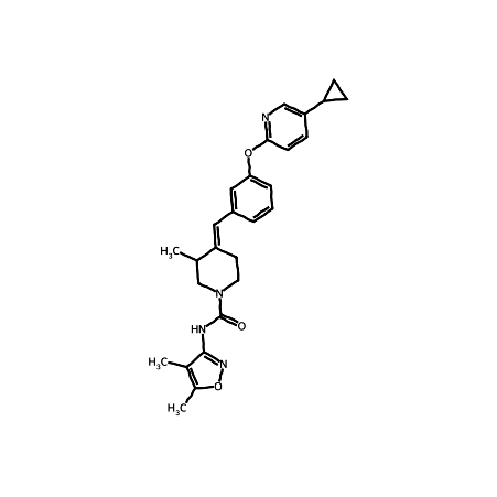 Cc1onc(NC(=O)N2CC/C(=C\c3cccc(Oc4ccc(C5CC5)cn4)c3)C(C)C2)c1C